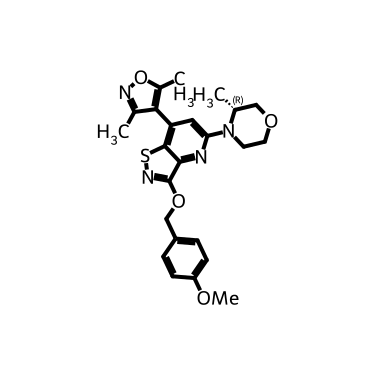 COc1ccc(COc2nsc3c(-c4c(C)noc4C)cc(N4CCOC[C@H]4C)nc23)cc1